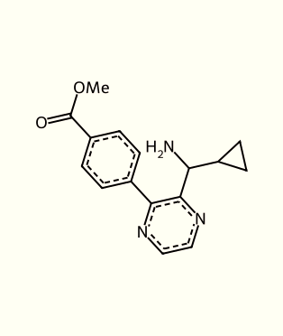 COC(=O)c1ccc(-c2nccnc2C(N)C2CC2)cc1